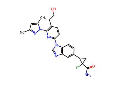 Cc1cc(C#N)nn1-c1nc(-n2cnc3cc(C4CC4(F)C(N)=O)ccc32)ccc1CCO